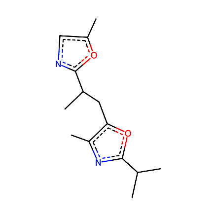 Cc1cnc(C(C)Cc2oc(C(C)C)nc2C)o1